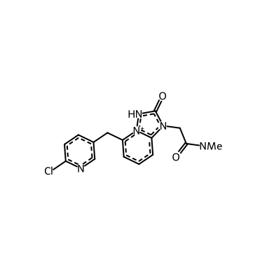 CNC(=O)Cn1c(=O)[nH][n+]2c(Cc3ccc(Cl)nc3)cccc12